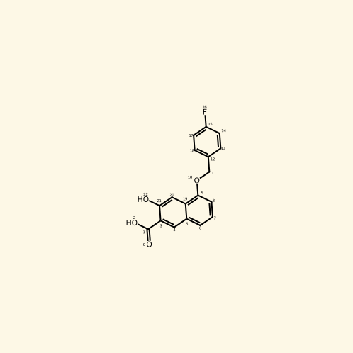 O=C(O)c1cc2cccc(OCc3ccc(F)cc3)c2cc1O